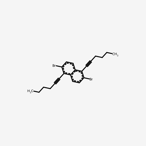 CCCCC#Cc1c(Br)ccc2c(C#CCCCC)c(Br)ccc12